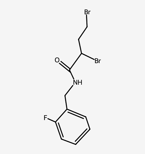 O=C(NCc1ccccc1F)C(Br)CCBr